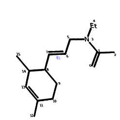 C=C(C)N(CC)C/C=C/C1CCC(C)=CC1C